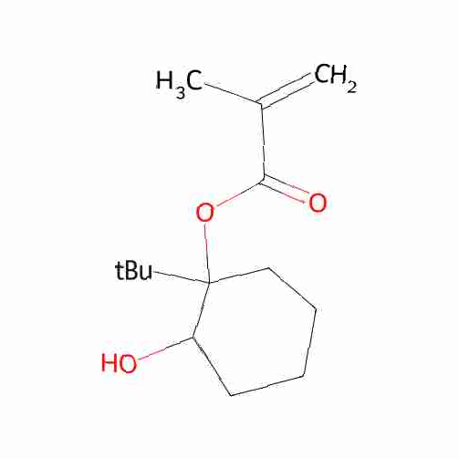 C=C(C)C(=O)OC1(C(C)(C)C)CCCCC1O